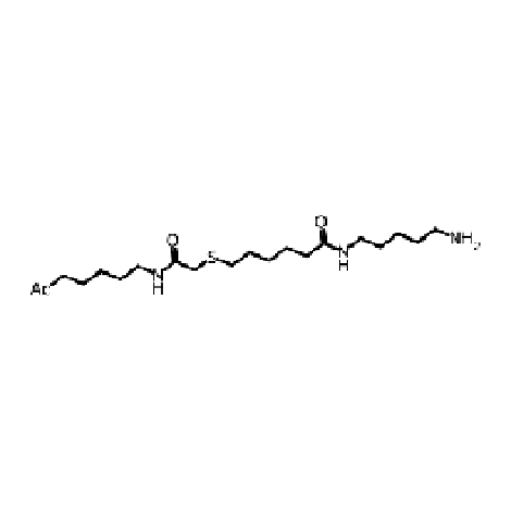 CC(=O)CCCCCNC(=O)CSCCCCCC(=O)NCCCCCN